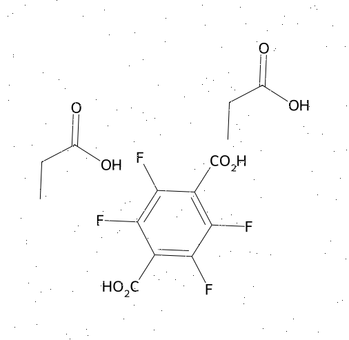 CCC(=O)O.CCC(=O)O.O=C(O)c1c(F)c(F)c(C(=O)O)c(F)c1F